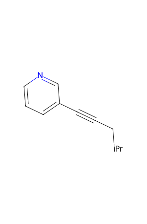 CC(C)CC#Cc1cccnc1